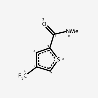 C[N]C(=O)c1cc(C(F)(F)F)cs1